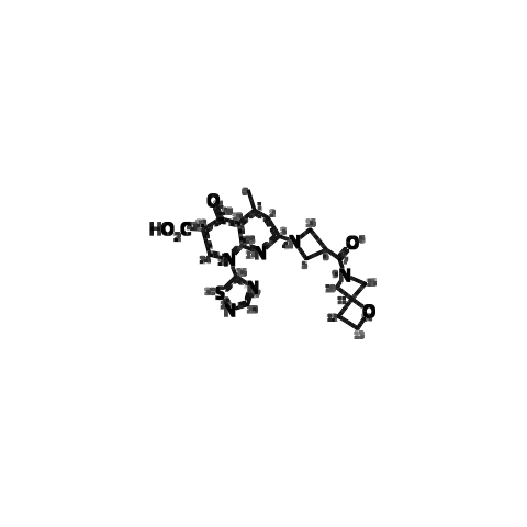 Cc1cc(N2CC(C(=O)N3CC4(CCO4)C3)C2)nc2c1c(=O)c(C(=O)O)cn2-c1ncns1